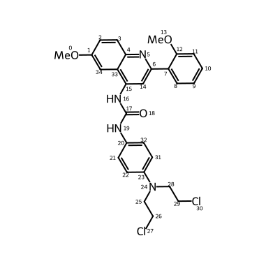 COc1ccc2nc(-c3ccccc3OC)cc(NC(=O)Nc3ccc(N(CCCl)CCCl)cc3)c2c1